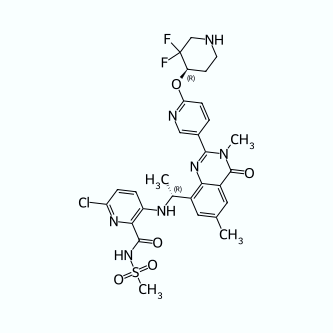 Cc1cc([C@@H](C)Nc2ccc(Cl)nc2C(=O)NS(C)(=O)=O)c2nc(-c3ccc(O[C@@H]4CCNCC4(F)F)nc3)n(C)c(=O)c2c1